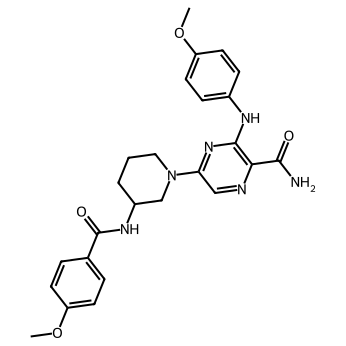 COc1ccc(Nc2nc(N3CCCC(NC(=O)c4ccc(OC)cc4)C3)cnc2C(N)=O)cc1